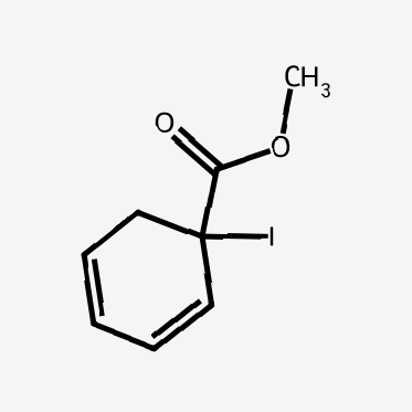 COC(=O)C1(I)C=CC=CC1